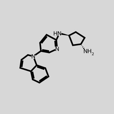 N[C@H]1CC[C@H](Nc2ccc(N3CC=Cc4ccccc43)cn2)C1